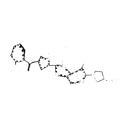 CO[C@@H]1CCN(c2ncc3nc(-c4cc(C(=O)c5ccccc5C(F)(F)F)c[nH]4)[nH]c3c2F)C1.Cl